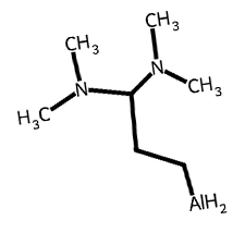 CN(C)C(C[CH2][AlH2])N(C)C